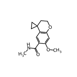 CNC(=O)c1cc2c(cc1OC)OCCC21CC1